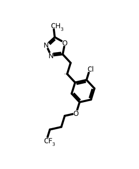 Cc1nnc(C[CH]c2cc(OCCCC(F)(F)F)ccc2Cl)o1